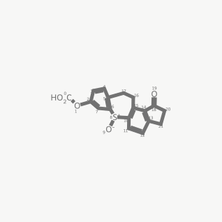 O=C(O)Oc1ccc2c(c1)[S+]([O-])c1ccc3c(c1CC2)C(=O)CC3